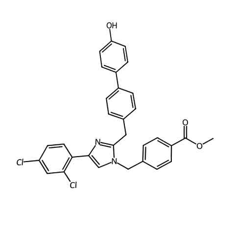 COC(=O)c1ccc(Cn2cc(-c3ccc(Cl)cc3Cl)nc2Cc2ccc(-c3ccc(O)cc3)cc2)cc1